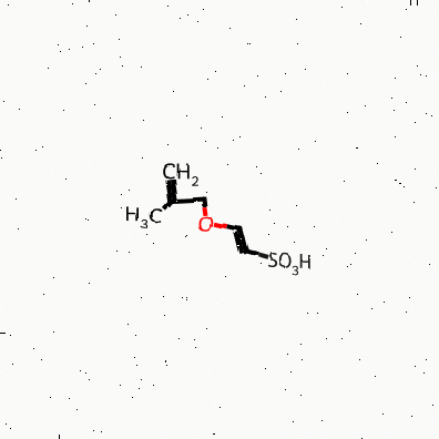 C=C(C)COC=CS(=O)(=O)O